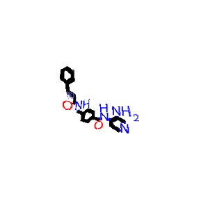 Nc1cnccc1NC(=O)c1ccc(CNC(=O)/C=C/c2ccccc2)cc1